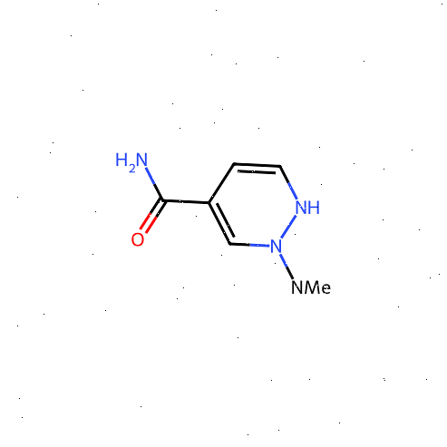 CNN1C=C(C(N)=O)C=CN1